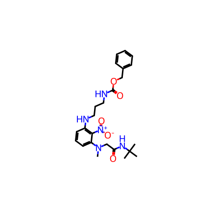 CN(CC(=O)NC(C)(C)C)c1cccc(NCCCNC(=O)OCc2ccccc2)c1[N+](=O)[O-]